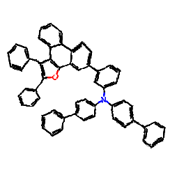 c1ccc(-c2ccc(N(c3ccc(-c4ccccc4)cc3)c3cccc(-c4ccc5c6ccccc6c6c(-c7ccccc7)c(-c7ccccc7)oc6c5c4)c3)cc2)cc1